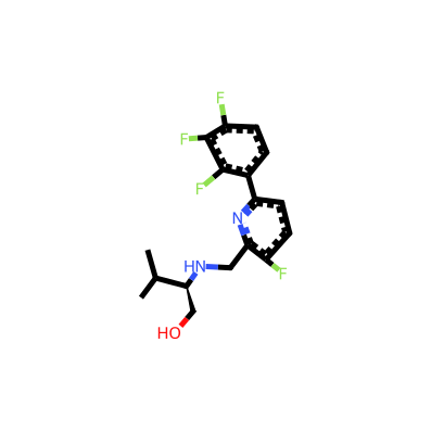 CC(C)[C@H](CO)NCc1nc(-c2ccc(F)c(F)c2F)ccc1F